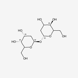 OCC1O[C@H](O[C@@H]2C[C@@H](O)[C@@H](O)C(CO)O2)CC(O)[C@H]1O